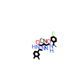 Cc1ccc(-c2cn3nc(C(=O)N[C@H](C)c4ccc(F)cc4)c(C#N)c3c(=O)[nH]2)cc1C